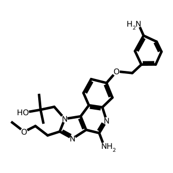 COCCc1nc2c(N)nc3cc(OCc4cccc(N)c4)ccc3c2n1CC(C)(C)O